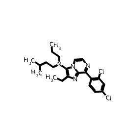 CCCN(CCC(C)C)c1c(CC)nc2c(-c3ccc(Cl)cc3Cl)nccn12